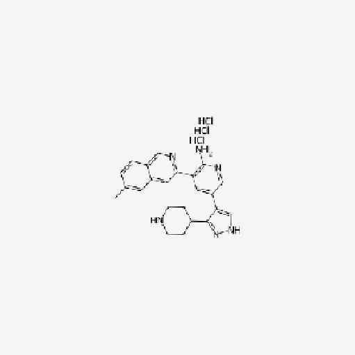 Cc1ccc2cnc(-c3cc(-c4c[nH]nc4C4CCNCC4)cnc3N)cc2c1.Cl.Cl.Cl